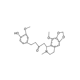 COc1cc(CCC(=O)CC2c3c(cc4c(c3OC)OCO4)CCN2C)ccc1O